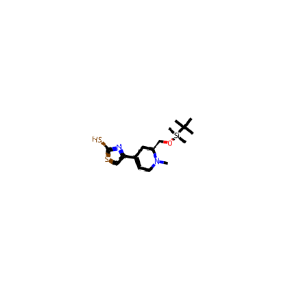 CN1CC=C(c2csc(S)n2)C[C@H]1CO[Si](C)(C)C(C)(C)C